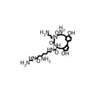 NCCC[C@@H]1NC(=O)[C@@H](N)Cc2cc(ccc2O)-c2ccc(O)c(c2)C[C@@H](C(=O)NCCCC[C@H](N)CC(=O)NCCN)NC1=O